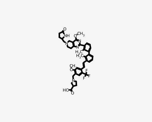 COc1cc(/C=C/c2cccc(-c3cccc(-c4nc5c(c(OC)n4)CN(CC4CCC(=O)N4)CC5)c3C)c2C)c(C(F)(F)F)cc1CN1CCC(C(=O)O)C1